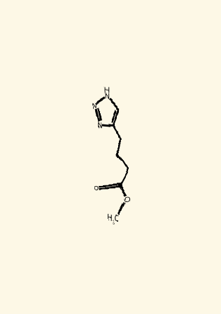 COC(=O)CCCc1c[nH]nn1